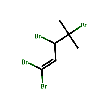 CC(C)(Br)C(Br)C=C(Br)Br